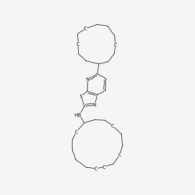 B(c1nc2ccc(C3CCCCCCCCCCC3)nc2s1)C1CCCCCCCCCCCCCC1